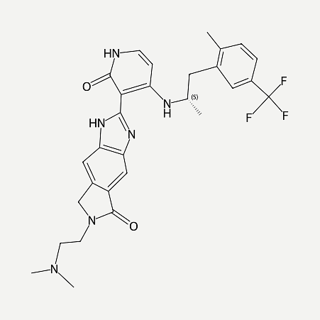 Cc1ccc(C(F)(F)F)cc1C[C@H](C)Nc1cc[nH]c(=O)c1-c1nc2cc3c(cc2[nH]1)CN(CCN(C)C)C3=O